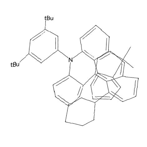 CC(C)(C)c1cc(N(c2ccccc2-c2cccc3cccc(C4CCCCC4)c23)c2cccc3c2-c2ccccc2C3(C)C)cc(C(C)(C)C)c1